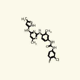 Cc1cc(Nc2cc(C)nc(Nc3ccc(NC(=O)Nc4ccc(F)c(Cl)c4)cc3C)n2)[nH]n1